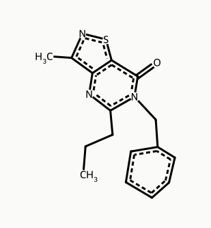 CCCc1nc2c(C)nsc2c(=O)n1Cc1ccccc1